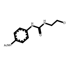 CC(=O)Nc1ccc(NC(=O)NCCCl)cc1